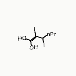 CCCC(I)C(I)=C(O)O